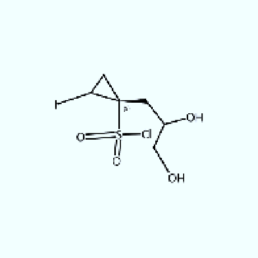 O=S(=O)(Cl)[C@@]1(CC(O)CO)CC1I